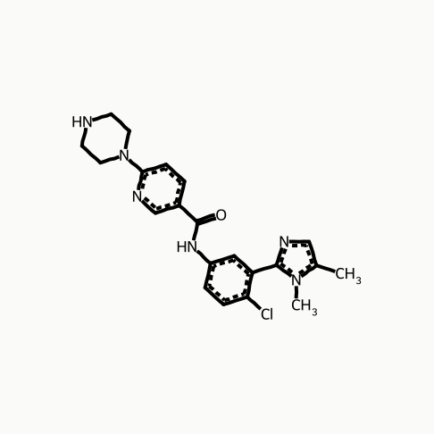 Cc1cnc(-c2cc(NC(=O)c3ccc(N4CCNCC4)nc3)ccc2Cl)n1C